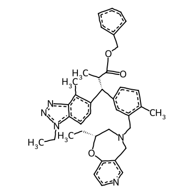 CC[C@@H]1CN(Cc2cc([C@H](c3ccc4c(nnn4CC)c3C)C(C)C(=O)OCc3ccccc3)ccc2C)Cc2cnccc2O1